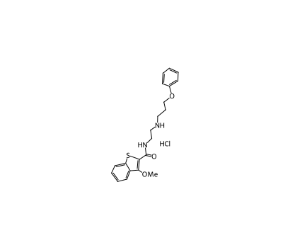 COc1c(C(=O)NCCNCCCOc2ccccc2)sc2ccccc12.Cl